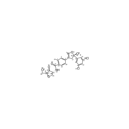 Cc1cc(C2=NO[C@@](c3cc(Cl)cc(Cl)c3)(C(F)(F)F)C2)ccc1C(=O)N[C@@H]1CON(CC(F)(F)F)C1=O